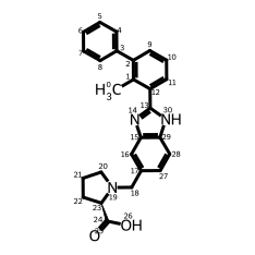 Cc1c(-c2ccccc2)cccc1-c1nc2cc(CN3CCC[C@@H]3C(=O)O)ccc2[nH]1